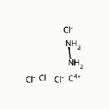 NN.[C+4].[Cl-].[Cl-].[Cl-].[Cl-]